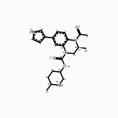 CC(=O)N1c2ccc(-c3cc[nH]c3)cc2N(C(=O)OC2CCC(C)NC2)C[C@@H]1C